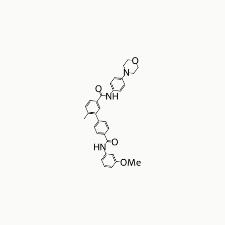 COc1cccc(NC(=O)c2ccc(-c3cc(C(=O)Nc4ccc(N5CCOCC5)cc4)ccc3C)cc2)c1